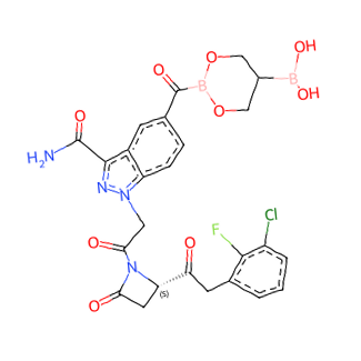 NC(=O)c1nn(CC(=O)N2C(=O)C[C@H]2C(=O)Cc2cccc(Cl)c2F)c2ccc(C(=O)B3OCC(B(O)O)CO3)cc12